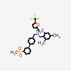 Cc1cc(C)c(CN(Cc2ccc(-c3cccc(S(C)(=O)=O)c3)cc2)Cc2ccc(C(F)(F)F)o2)c(C)c1